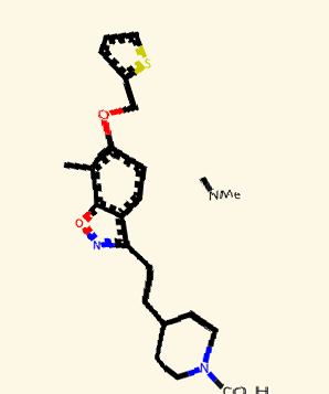 CNC.Cc1c(OCc2cccs2)ccc2c(CCC3CCN(C(=O)O)CC3)noc12